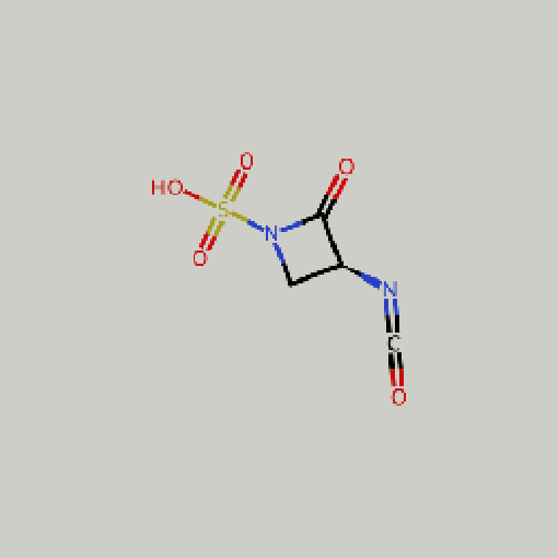 O=C=N[C@H]1CN(S(=O)(=O)O)C1=O